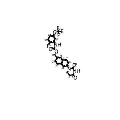 O=C1CCN(c2ccc3cc(COC(=O)Nc4cc(OC(F)(F)F)ccc4F)ccc3c2)C(=O)N1